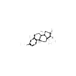 C=C[C@@]12CCc3cc(O)ccc3[C@H]1CC[C@]1(C)[C@H](O)[C@H](F)C[C@H]12